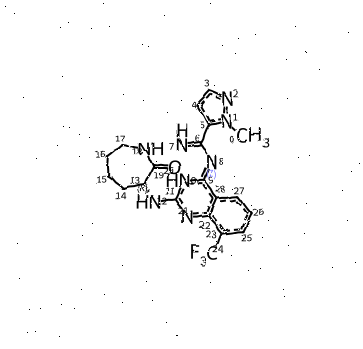 Cn1nccc1C(=N)/N=c1\[nH]c(N[C@@H]2CCCCNC2=O)nc2c(C(F)(F)F)cccc12